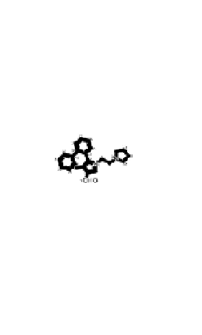 Cc1c(C=O)cn(CCN2CCCC2)c1-c1ccccc1-c1ccccc1